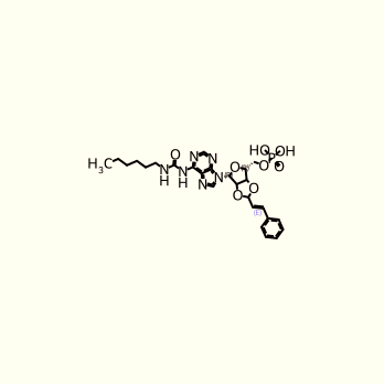 CCCCCCNC(=O)Nc1ncnc2c1ncn2[C@@H]1O[C@H](COP(=O)(O)O)C2OC(/C=C/c3ccccc3)OC21